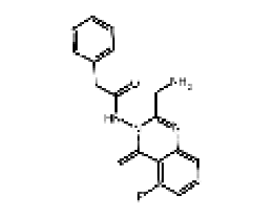 C=C1c2c(F)cccc2N=C(CN)N1NC(=O)Cc1ccccc1